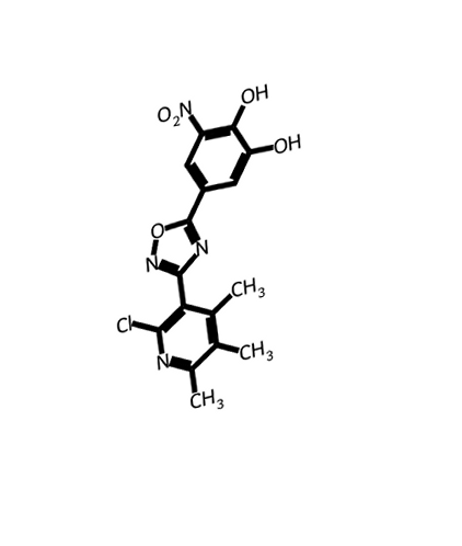 Cc1nc(Cl)c(-c2noc(-c3cc(O)c(O)c([N+](=O)[O-])c3)n2)c(C)c1C